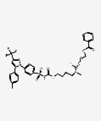 Cc1ccc(-c2cc(C(F)(F)F)nn2-c2ccc(S(=O)(=O)NC(=O)OCCCCN(C)[N+]([O-])=NOCOC(=O)c3ccccc3)cc2)cc1